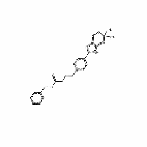 CC1(P)N=c2[nH]c(-c3cc[n+](CCCC(=O)OCc4ccccc4)cc3)nc2=NO1